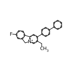 CCc1c[n+]2c(cc1-c1ccc(-c3ccccc3)cc1)-c1ccc(F)cc1C2